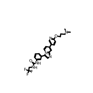 CN(C)CCCOc1ccc(-c2ccn3c(-c4cccc(NC(=O)NCC(F)(F)F)c4)cnc3c2)cn1